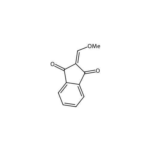 COC=C1C(=O)c2ccccc2C1=O